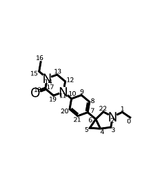 CCN1CC2CC2(C2=CCC(N3CCN(CC)C(=O)C3)C=C2)C1